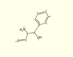 NC(C=O)C(O)c1ccccc1